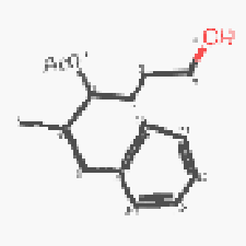 CC(=O)OC(CCCO)C(C)Cc1ccccc1